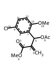 C=C(C(=O)OC)C(OC(C)=O)c1cc(Cl)ccc1OC